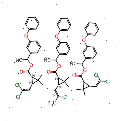 CC1(C)C(C=C(Cl)Cl)C1C(=O)OC(C#N)c1cccc(Oc2ccccc2)c1.CC1(C)[C@H](C(=O)OC(C#N)c2cccc(Oc3ccccc3)c2)[C@@H]1/C=C(\Cl)C(F)(F)F.CC1(C)[C@H](C(=O)OC(C#N)c2cccc(Oc3ccccc3)c2)[C@@H]1C=C(Cl)Cl